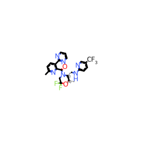 Cc1ccc(-c2ncccn2)c(C(=O)N2CC(F)(F)O[C@@H](C)[C@H]2CNc2ccc(C(F)(F)F)cn2)n1